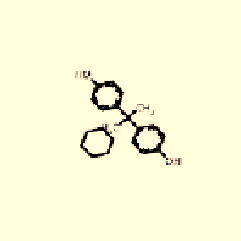 C1CCCCC1.CC(C)(c1ccc(O)cc1)c1ccc(O)cc1